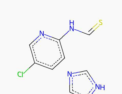 S=CNc1ccc(Cl)cn1.c1c[nH]cn1